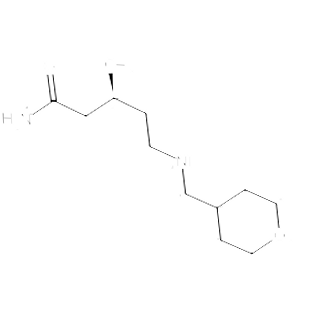 C[C@@H]([CH]CNCC1CCOCC1)CC(N)=O